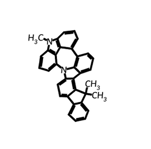 Cn1c2cccc3c4cccc5c6c7c(ccc6n(c6cccc1c6c32)c45)-c1ccccc1C7(C)C